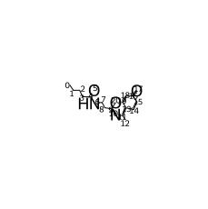 CCCCC(=O)NCCc1nc(C)c2ccc(=O)cc-2o1